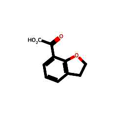 O=C(O)C(=O)c1cccc2c1OCC2